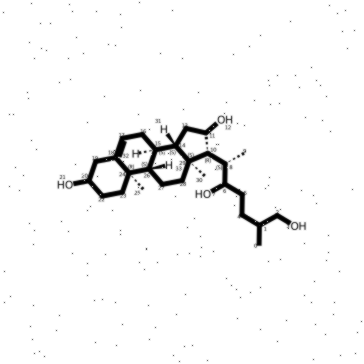 CC(CO)CCC(O)[C@@H](C)[C@H]1C(O)C[C@H]2[C@@H]3CC=C4CC(O)CC[C@]4(C)[C@H]3CC[C@]12C